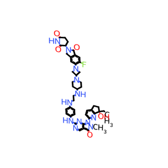 CC[C@@]1(O)CCc2ccc(-n3c4nc(Nc5ccc(NCCNC6CCN(C7CN(c8cc9c(cc8F)C(=O)N(C8CCC(=O)NC8=O)C9)C7)CC6)cc5)ncc4c(=O)n3C)nc21